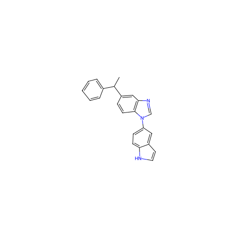 CC(c1ccccc1)c1ccc2c(c1)ncn2-c1ccc2[nH]ccc2c1